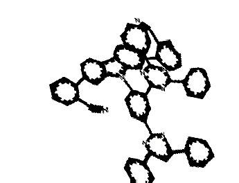 N#Cc1ccccc1-c1ccc2c3ccc(-c4ccccc4C#N)cc3n(-c3ccc(-c4nc(-c5ccccc5)cc(-c5ccccc5)n4)cc3-c3nc(-c4ccccc4)nc(-c4ccccc4)n3)c2c1